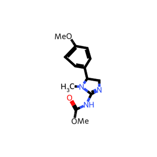 COC(=O)NC1=NCC(c2ccc(OC)cc2)N1C